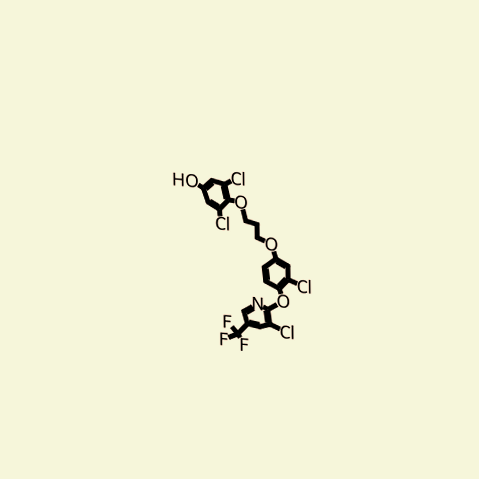 Oc1cc(Cl)c(OCCCOc2ccc(Oc3ncc(C(F)(F)F)cc3Cl)c(Cl)c2)c(Cl)c1